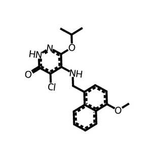 COc1ccc(CNc2c(OC(C)C)n[nH]c(=O)c2Cl)c2ccccc12